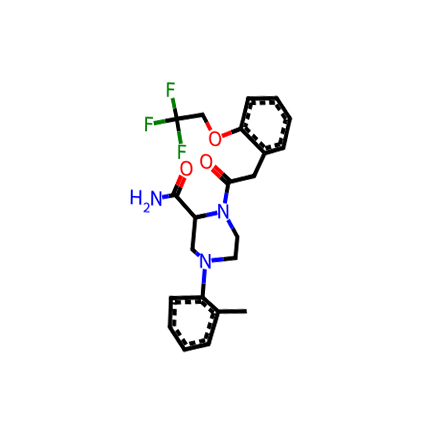 Cc1ccccc1N1CCN(C(=O)Cc2ccccc2OCC(F)(F)F)C(C(N)=O)C1